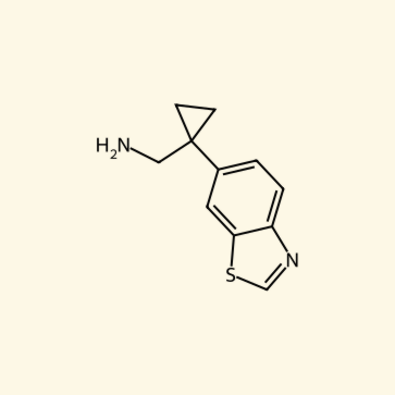 NCC1(c2ccc3ncsc3c2)CC1